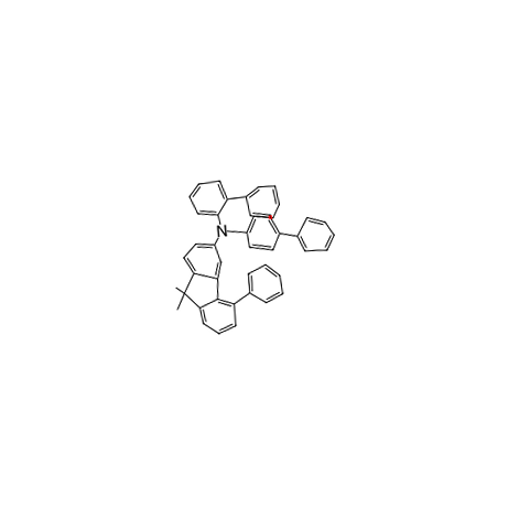 CC1(C)c2ccc(N(c3ccc(-c4ccccc4)cc3)c3ccccc3-c3ccccc3)cc2-c2c(-c3ccccc3)cccc21